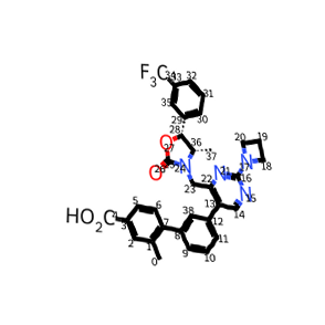 Cc1cc(C(=O)O)ccc1-c1cccc(-c2cnc(N3CCC3)nc2CN2C(=O)O[C@H](c3cccc(C(F)(F)F)c3)[C@@H]2C)c1